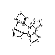 C1=CC2=C(C1)C1c3ccccc3C3=CCC=C3N1c1ccccc12